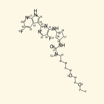 CCOCCOCCCCCN(C)C(=O)NC1CCC(Nc2nc(-c3c[nH]c4ncc(F)cc34)ncc2F)C1